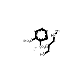 CCOC(=O)c1ccccc1C(=O)OCC.OCCCNCl.[Pt]